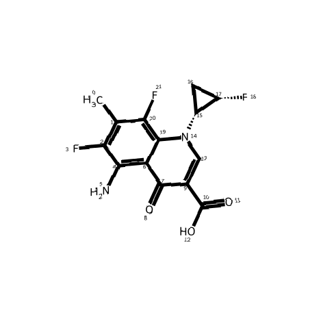 Cc1c(F)c(N)c2c(=O)c(C(=O)O)cn([C@@H]3C[C@@H]3F)c2c1F